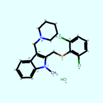 Cl.Cn1c(CSc2c(Cl)cccc2Cl)c(CN2CCCCC2)c2ccccc21